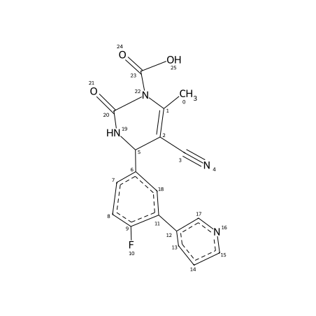 CC1=C(C#N)C(c2ccc(F)c(-c3cccnc3)c2)NC(=O)N1C(=O)O